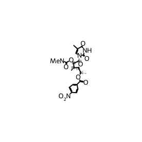 CNC(=O)O[C@@H]1[C@H](C)[C@@H]([C@H](C)OC(=O)c2ccc([N+](=O)[O-])cc2)O[C@H]1n1cc(C)c(=O)[nH]c1=O